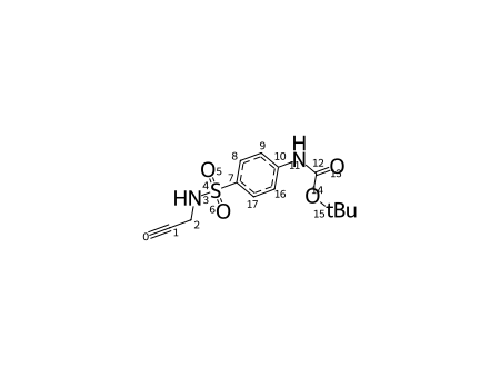 C#CCNS(=O)(=O)c1ccc(NC(=O)OC(C)(C)C)cc1